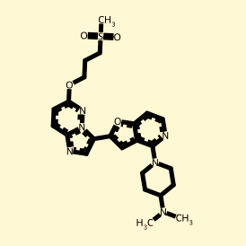 CN(C)C1CCN(c2nccc3oc(-c4cnc5ccc(OCCCS(C)(=O)=O)nn45)cc23)CC1